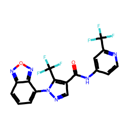 O=C(Nc1ccnc(C(F)(F)F)c1)c1cnn(-c2cccc3nonc23)c1C(F)(F)F